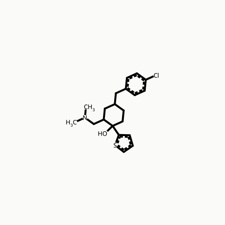 CN(C)CC1CC(Cc2ccc(Cl)cc2)CCC1(O)c1cccs1